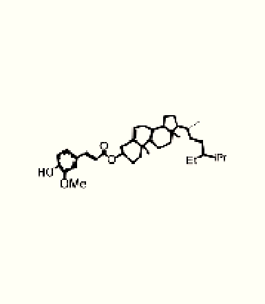 CCC(CC[C@@H](C)C1CCC2C3CC=C4CC(OC(=O)/C=C/c5ccc(O)c(OC)c5)CCC4(C)C3CCC21C)C(C)C